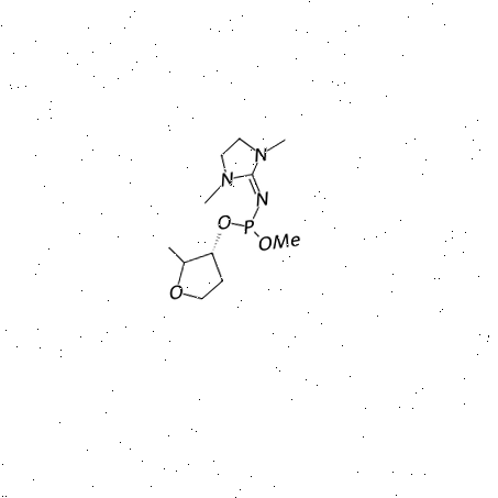 COP(N=C1N(C)CCN1C)O[C@@H]1CCOC1C